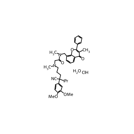 COc1ccc(C(C#N)(CCCN(C)CC(=O)N(C)Cc2cccc3c(=O)c(C)c(-c4ccccc4)oc23)C(C)C)cc1OC.Cl.O